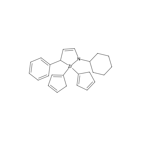 C1=CC[C]([Zr]2([C]3=CC=CC3)[CH](c3ccccc3)C=C[N]2C2CCCCC2)=C1